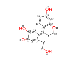 O=C1C=C(CCO)/C(=C2\CCOc3cc(O)ccc32)C=C1O